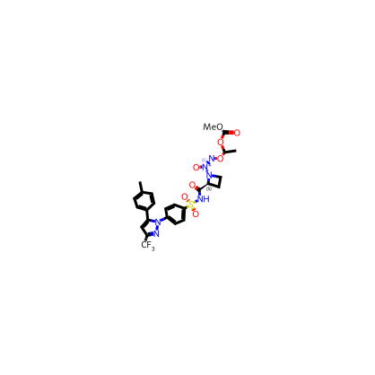 COC(=O)OC(C)O/N=[N+](/[O-])N1CC[C@H]1C(=O)NS(=O)(=O)c1ccc(-n2nc(C(F)(F)F)cc2-c2ccc(C)cc2)cc1